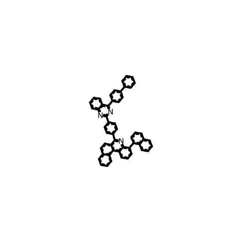 c1ccc(-c2ccc(-c3nc(-c4ccc(-c5nc6c(-c7cccc8ccccc78)cccc6c6c5ccc5ccccc56)cc4)nc4ccccc34)cc2)cc1